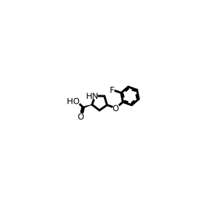 O=C(O)[C@@H]1CC(Oc2ccccc2F)CN1